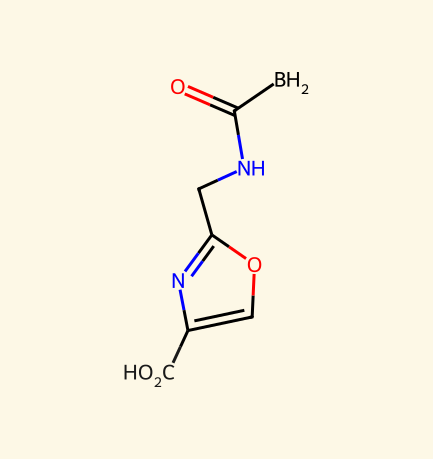 BC(=O)NCc1nc(C(=O)O)co1